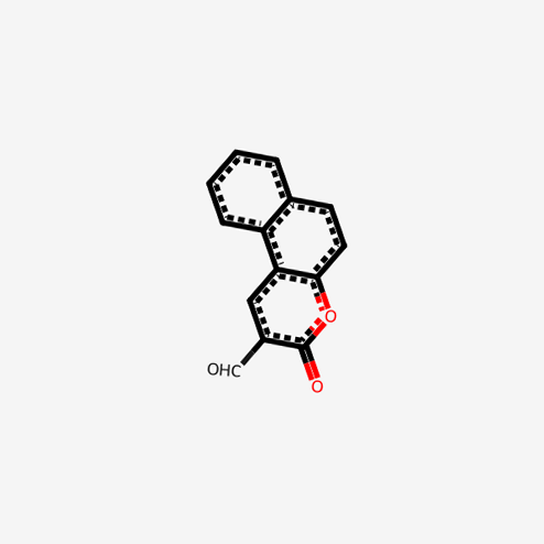 O=Cc1cc2c(ccc3ccccc32)oc1=O